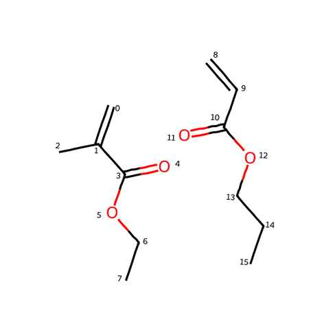 C=C(C)C(=O)OCC.C=CC(=O)OCCC